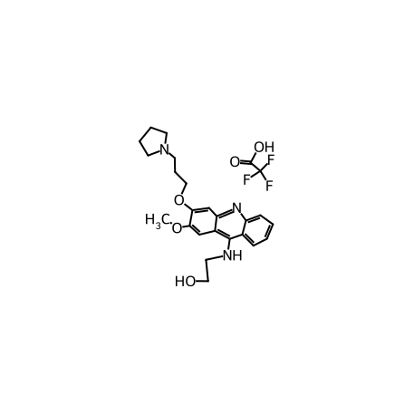 COc1cc2c(NCCO)c3ccccc3nc2cc1OCCCN1CCCC1.O=C(O)C(F)(F)F